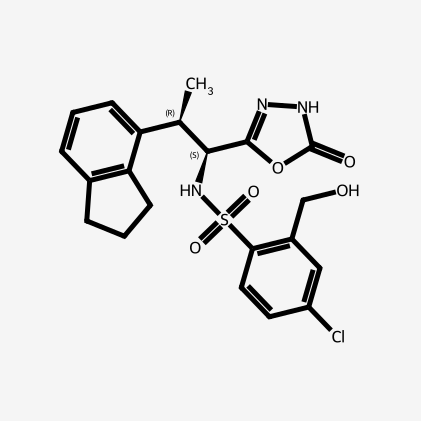 C[C@H](c1cccc2c1CCC2)[C@H](NS(=O)(=O)c1ccc(Cl)cc1CO)c1n[nH]c(=O)o1